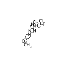 C[C@H]1CC2(CCN(c3cnc4c(cnn4-c4ccc(F)c(Cl)c4Cl)n3)CC2)CO1